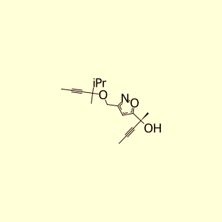 CC#CC(C)(OCc1cc([C@](C)(O)C#CC)on1)C(C)C